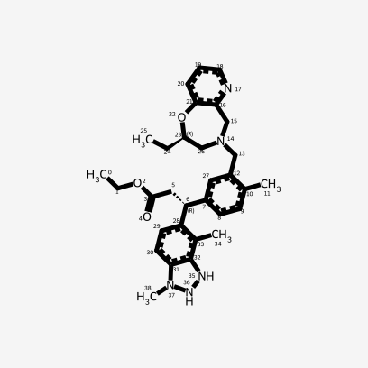 CCOC(=O)C[C@H](c1ccc(C)c(CN2Cc3ncccc3O[C@H](CC)C2)c1)c1ccc2c(c1C)NNN2C